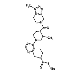 CC1CN(c2ccnc3c2CCN(C(=O)OC(C)(C)C)C3)CCC1C(=O)N1CCn2c(nnc2C(F)(F)F)C1